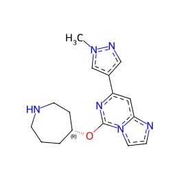 Cn1cc(-c2cc3nccn3c(O[C@@H]3CCCNCC3)n2)cn1